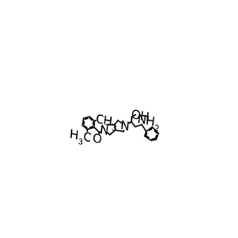 Cc1cccc(C)c1C(=O)N1CC2CN(C(CO)CC(N)c3ccccc3)CC2C1